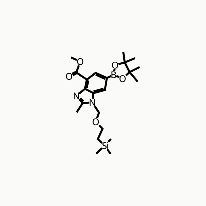 COC(=O)c1cc(B2OC(C)(C)C(C)(C)O2)cc2c1nc(C)n2COCC[Si](C)(C)C